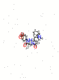 CN(C)C1(c2ccccc2)CCC2(CC1)CC(=O)N(CC(C)(C)C(=O)NC1CCS(=O)(=O)CC1)C2